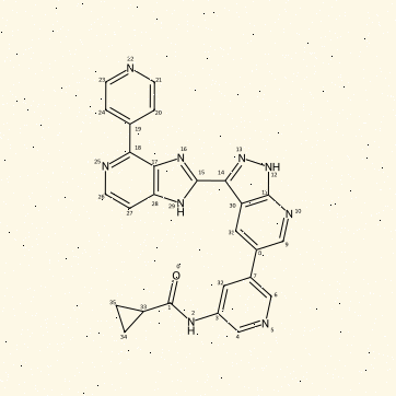 O=C(Nc1cncc(-c2cnc3[nH]nc(-c4nc5c(-c6ccncc6)nccc5[nH]4)c3c2)c1)C1CC1